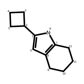 C1=C(C2CCC2)[N]C2=C1CCCC2